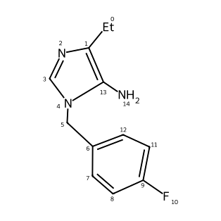 CCc1ncn(Cc2ccc(F)cc2)c1N